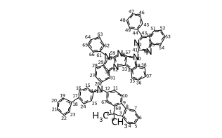 CC1(C)c2ccccc2-c2ccc(N(c3ccc(-c4ccccc4)cc3)c3ccc4c(c3)n3c5c6ccccc6n(-c6nc(-c7ccccc7)c7ccccc7n6)c5nc3n4-c3ccccc3)cc21